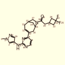 Cn1cc(Nc2nccc(C3=CCC4CC(C3)N(C(=O)CC3CC(F)(F)C3)C4)n2)cn1